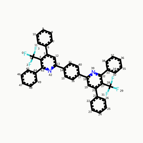 FC(F)(F)c1c(-c2ccccc2)cc(-c2ccc(-c3cc(-c4ccccc4)c(C(F)(F)F)c(-c4ccccc4)n3)cc2)nc1-c1ccccc1